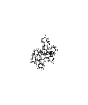 B1c2cc3sc4ccccc4c3cc2-n2c3ccccc3c3c(C(c4ccccc4)c4ccccc4)cc(-c4ccccc4Nc4ccccc4)c1c32